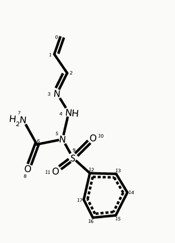 C=CC=NNN(C(N)=O)S(=O)(=O)c1ccccc1